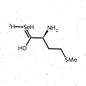 [2H]/[SeH]=C(\O)[C@@H](N)CCSC